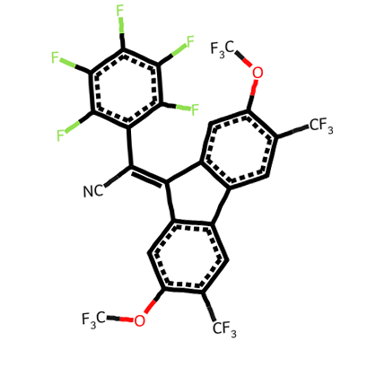 N#CC(=C1c2cc(OC(F)(F)F)c(C(F)(F)F)cc2-c2cc(C(F)(F)F)c(OC(F)(F)F)cc21)c1c(F)c(F)c(F)c(F)c1F